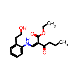 CCCC(=O)C(=CNc1ccccc1CCO)C(=O)OCC